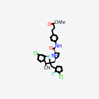 COC(=O)CCc1ccc(NC(=O)[C@H]2CC[C@@H](CC(C)(Cc3cccc(Cl)c3F)C(C#N)c3ccc(Cl)cc3F)N2)cc1